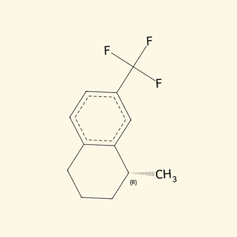 C[C@@H]1CCCc2ccc(C(F)(F)F)cc21